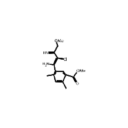 COCC(=N)/C(Cl)=C(\N)c1cc(C(=O)OC)c(C)cc1C